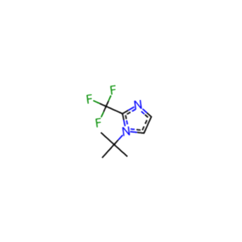 CC(C)(C)n1ccnc1C(F)(F)F